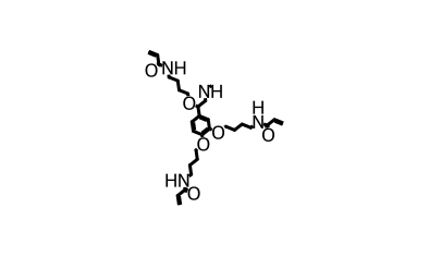 C=CC(=O)NCCCCOc1ccc(C(CNC)OCCCCNC(=O)C=C)cc1OCCCCNC(=O)C=C